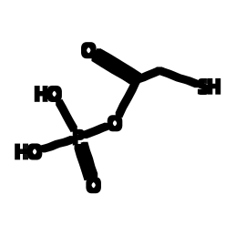 O=C(CS)OP(=O)(O)O